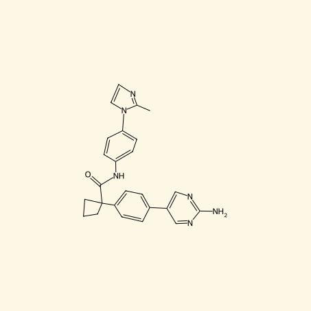 Cc1nccn1-c1ccc(NC(=O)C2(c3ccc(-c4cnc(N)nc4)cc3)CCC2)cc1